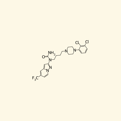 NC(=O)N(CCCCN1CCN(c2cccc(Cl)c2Cl)CC1)c1cc2cc(C(F)(F)F)ccn2n1